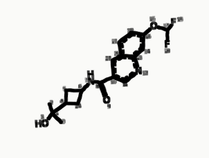 CC(C)(O)C1CC(NC(=O)c2cnc3cc(OC(F)F)ccc3c2)C1